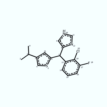 CC(C)c1csc(C(c2c[nH]cn2)c2cccc(F)c2Cl)c1